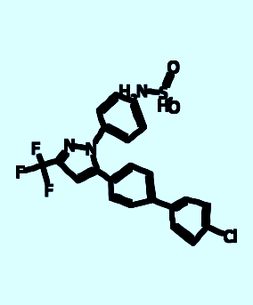 FC(F)(F)c1cc(-c2ccc(-c3ccc(Cl)cc3)cc2)n(-c2ccccc2)n1.N[SH](=O)=O